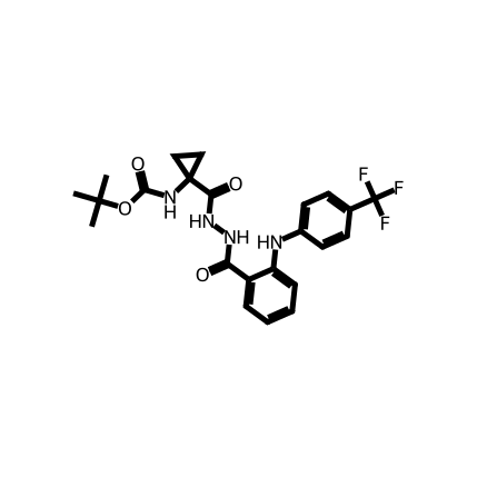 CC(C)(C)OC(=O)NC1(C(=O)NNC(=O)c2ccccc2Nc2ccc(C(F)(F)F)cc2)CC1